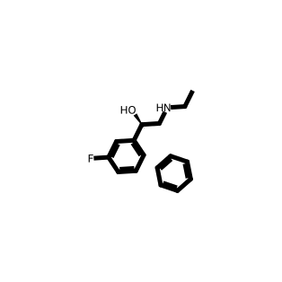 CCNC[C@H](O)c1cccc(F)c1.c1ccccc1